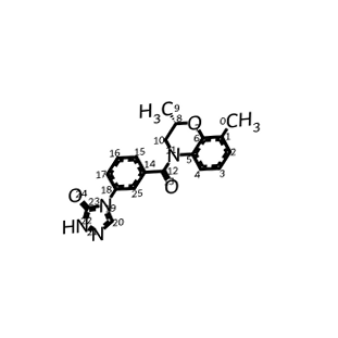 Cc1cccc2c1O[C@@H](C)CN2C(=O)c1cccc(-n2cn[nH]c2=O)c1